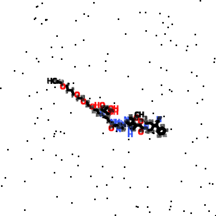 C#CCOCCCCOCCOCCOCCCN(CCCNC(=O)c1ncn(-c2ncc(OC)c3c(C(=O)C(=O)N4CCC(=C(C#N)c5ccccc5)CC4)c[nH]c23)n1)C(CO)(CO)CO